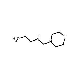 CCCN[CH]N1CCOCC1